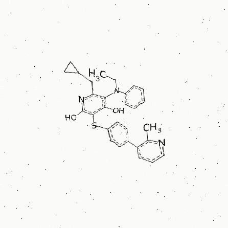 CCN(c1ccccc1)c1c(CC2CC2)nc(O)c(Sc2ccc(-c3cccnc3C)cc2)c1O